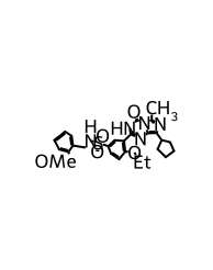 CCOc1ccc(S(=O)(=O)NCc2ccccc2OC)cc1-c1nc2c(C3CCCC3)nc(C)n2c(=O)[nH]1